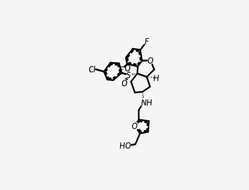 O=S(=O)(c1ccc(Cl)cc1)[C@@]12CC[C@@H](NCc3ccc(CO)o3)C[C@@H]1COc1c(F)ccc(F)c12